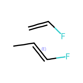 C/C=C/F.C=CF